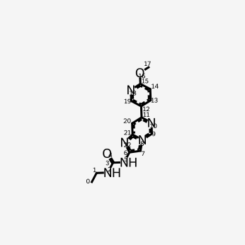 CCNC(=O)Nc1cn2cnc(-c3ccc(OC)nc3)cc2n1